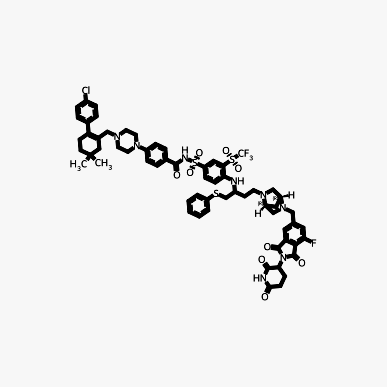 CC1(C)CCC(c2ccc(Cl)cc2)=C(CN2CCN(c3ccc(C(=O)NS(=O)(=O)c4ccc(NC(CCN5C[C@H]6C[C@@H]5CN6Cc5cc(F)c6c(c5)C(=O)N(C5CCC(=O)NC5=O)C6=O)CSc5ccccc5)c(S(=O)(=O)C(F)(F)F)c4)cc3)CC2)C1